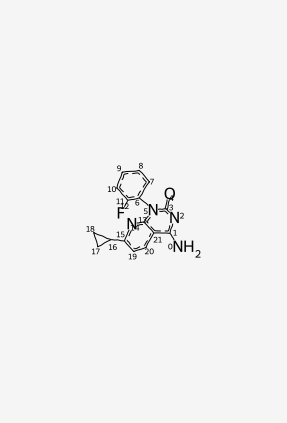 Nc1nc(=O)n(-c2ccccc2F)c2nc(C3CC3)ccc12